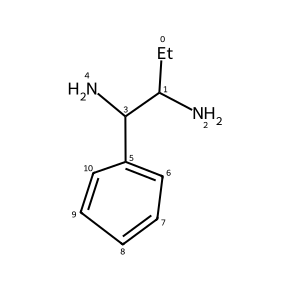 CCC(N)C(N)c1ccccc1